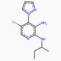 CCC(C)Nc1ncc(Cl)c(-n2cccn2)c1N